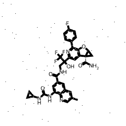 Cc1cnc2c(NC(=O)NC3CC3)cc(C(=O)NCC(O)(c3cc4c(c(-c5ccc(F)cc5)n3)OC3C[C@@]43C(N)=O)C(F)(F)F)cc2c1